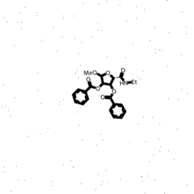 CCNC(=O)[C@H]1OC(OC)C(OC(=O)c2ccccc2)C1OC(=O)c1ccccc1